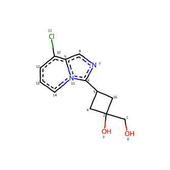 OCC1(O)CC(c2ncc3c(Cl)cccn23)C1